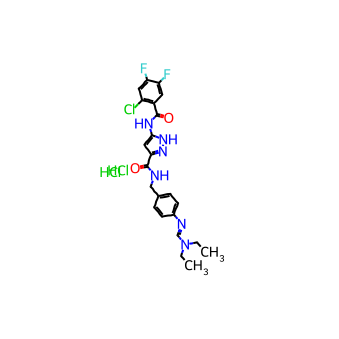 CCN(C=Nc1ccc(CNC(=O)c2cc(NC(=O)c3cc(F)c(F)cc3Cl)[nH]n2)cc1)CC.Cl.Cl